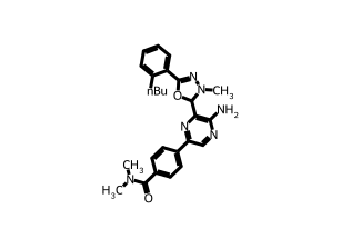 CCCCc1ccccc1C1=NN(C)C(c2nc(-c3ccc(C(=O)N(C)C)cc3)cnc2N)O1